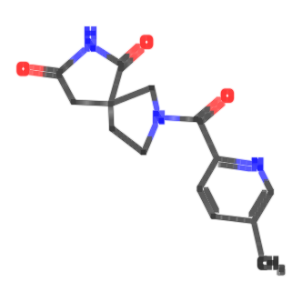 Cc1ccc(C(=O)N2CCC3(CC(=O)NC3=O)C2)nc1